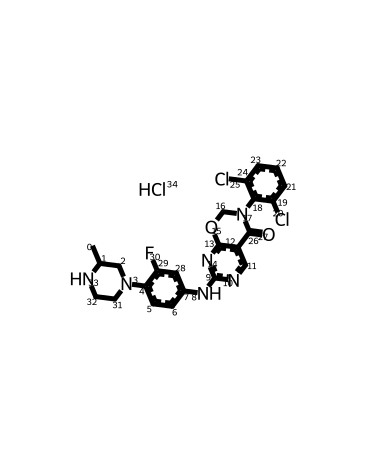 CC1CN(c2ccc(Nc3ncc4c(n3)OCN(c3c(Cl)cccc3Cl)C4=O)cc2F)CCN1.Cl